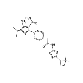 CC(C)n1nc(-c2ccc(CC(=O)Nc3cc(C4CCC4(C)C)no3)cc2)c(C(N)=O)c1N